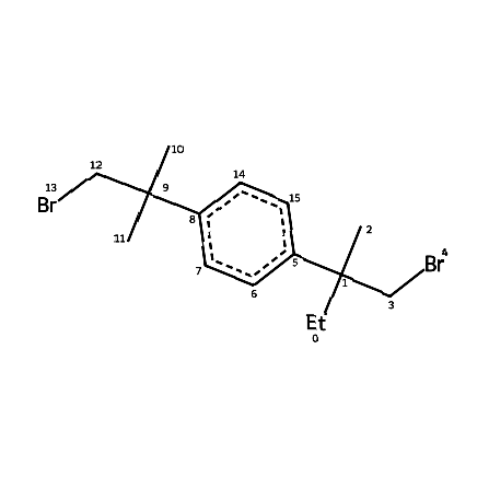 CCC(C)(CBr)c1ccc(C(C)(C)CBr)cc1